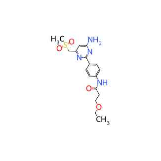 CCOCCC(=O)Nc1ccc(-c2nc(N)cc(CS(C)(=O)=O)n2)cc1